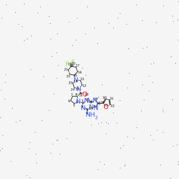 Nc1nc(N2CCC[C@H]2C(=O)N2CCN(C3CCC(F)(F)CC3)CC2)nc2nc(-c3ccco3)nn12